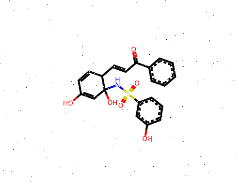 O=C(/C=C/C1C=CC(O)=CC1(O)NS(=O)(=O)c1cccc(O)c1)c1ccccc1